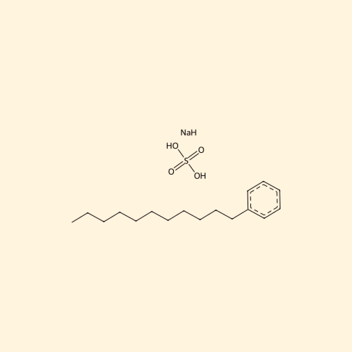 CCCCCCCCCCCc1ccccc1.O=S(=O)(O)O.[NaH]